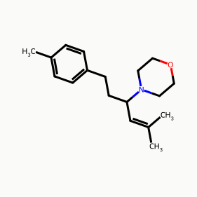 CC(C)=CC(CCc1ccc(C)cc1)N1CCOCC1